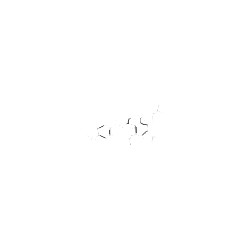 COc1ccc(CCC(=O)c2c(OC)cc(OC)c(CCC(C)C)c2O)cc1